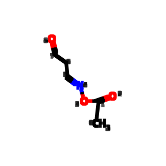 CC(=O)ON=CCC=O